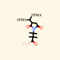 BC(=O)C(C)(C)C(C)(C)N1C(=O)CC(C(CCCCCC)CCCCCC)C1=O